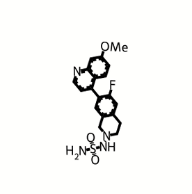 COc1ccc2c(-c3cc4c(cc3F)CCN(NS(N)(=O)=O)C4)ccnc2c1